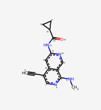 C#Cc1cnc(NC)c2cnc(NC(=O)C3CC3)cc12